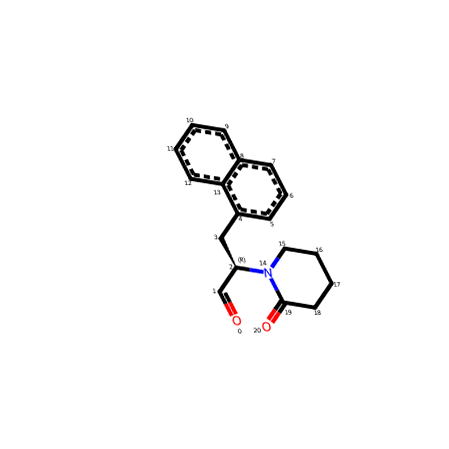 O=[C][C@@H](Cc1cccc2ccccc12)N1CCCCC1=O